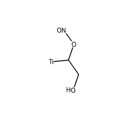 O=NO[CH]([Ti])CO